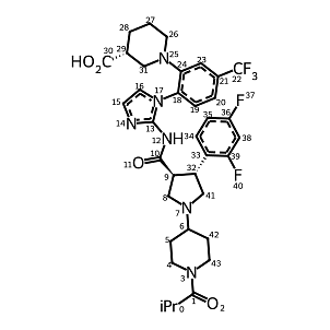 CC(C)C(=O)N1CCC(N2C[C@@H](C(=O)Nc3nccn3-c3ccc(C(F)(F)F)cc3N3CCC[C@@H](C(=O)O)C3)[C@H](c3ccc(F)cc3F)C2)CC1